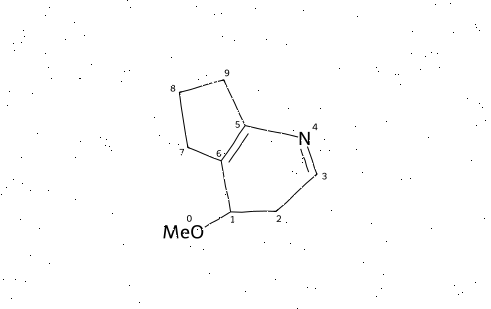 COC1CC=NC2=C1CCC2